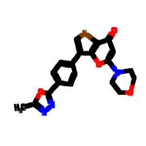 Cc1nnc(-c2ccc(-c3csc4c(=O)cc(N5CCOCC5)oc34)cc2)o1